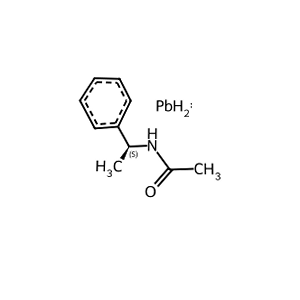 CC(=O)N[C@@H](C)c1ccccc1.[PbH2]